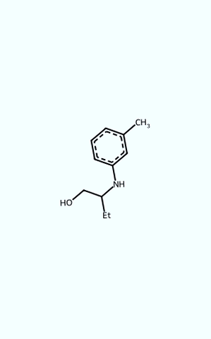 CCC(CO)Nc1cccc(C)c1